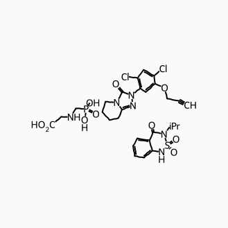 C#CCOc1cc(-n2nc3n(c2=O)CCCC3)c(Cl)cc1Cl.CC(C)N1C(=O)c2ccccc2NS1(=O)=O.O=C(O)CNCP(=O)(O)O